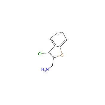 NCc1sc2ccccc2c1Cl